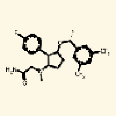 C[C@@H](OC1CCC(N(C)CC(N)=O)C1c1ccc(F)cc1)c1cc(C(F)(F)F)cc(C(F)(F)F)c1